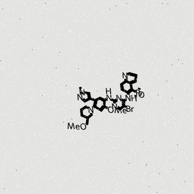 COCC1CCCN(c2cc(OC)c(Nc3ncc(Br)c(Nc4ccc5ncccc5c4P(C)(C)=O)n3)cc2-c2cnn(C)c2)C1